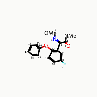 CNC(=O)C(=NOC)c1cc(F)ccc1Oc1ccccc1